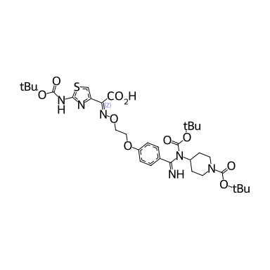 CC(C)(C)OC(=O)Nc1nc(/C(=N/OCCOc2ccc(C(=N)N(C(=O)OC(C)(C)C)C3CCN(C(=O)OC(C)(C)C)CC3)cc2)C(=O)O)cs1